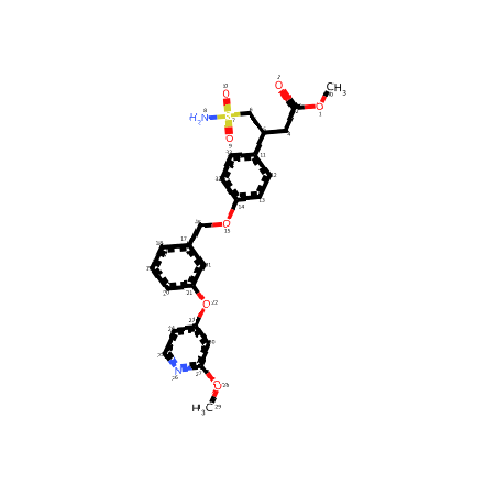 COC(=O)CC(CS(N)(=O)=O)c1ccc(OCc2cccc(Oc3ccnc(OC)c3)c2)cc1